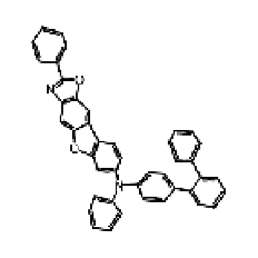 c1ccc(-c2nc3cc4oc5cc(N(c6ccccc6)c6ccc(-c7ccccc7-c7ccccc7)cc6)ccc5c4cc3o2)cc1